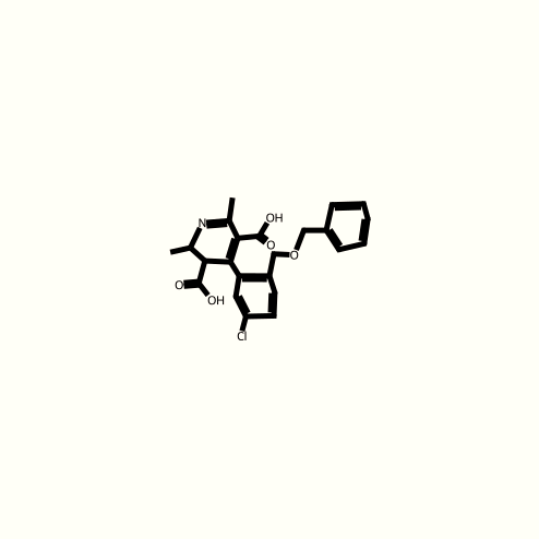 CC1=NC(C)C(C(=O)O)C(c2cc(Cl)ccc2COCc2ccccc2)=C1C(=O)O